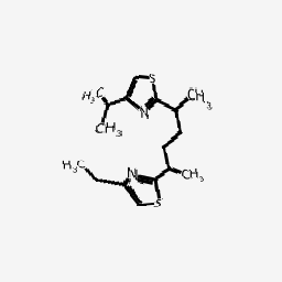 CCc1csc(C(C)CCC(C)c2nc(C(C)C)cs2)n1